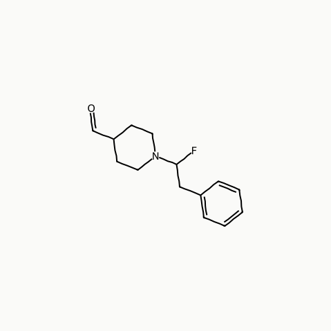 O=CC1CCN(C(F)Cc2ccccc2)CC1